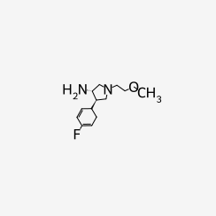 COCCN1C[C@@H](N)[C@H](C2C=CC(F)=CC2)C1